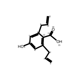 C=CCc1cc(O)cc(CC=C)c1C(=O)O